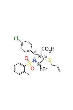 C=CCS[C@H]1[C@@H](C(=O)O)[C@H](c2ccc(Cl)cc2)N(S(=O)(=O)c2ccccc2C)[C@@H]1CCC